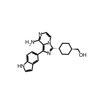 Nc1nccn2c1c(-c1ccc3[nH]ccc3c1)nc2[C@H]1CC[C@H](CO)CC1